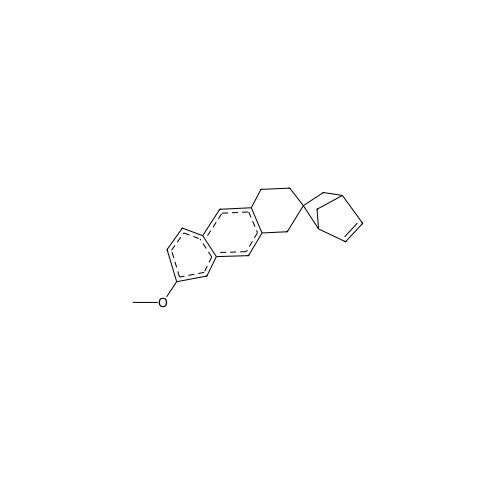 COc1ccc2cc3c(cc2c1)CC1(CC3)CC2C=CC1C2